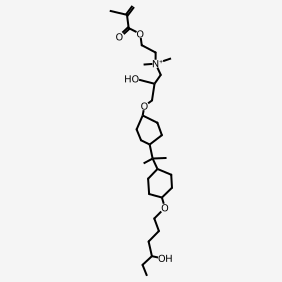 C=C(C)C(=O)OCC[N+](C)(C)CC(O)COC1CCC(C(C)(C)C2CCC(OCCCC(O)CC)CC2)CC1